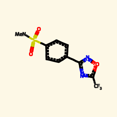 CNS(=O)(=O)c1ccc(-c2noc(C(F)(F)F)n2)cc1